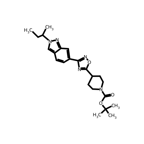 CCC(C)n1cc2ccc(-c3noc(C4CCN(C(=O)OC(C)(C)C)CC4)n3)cc2n1